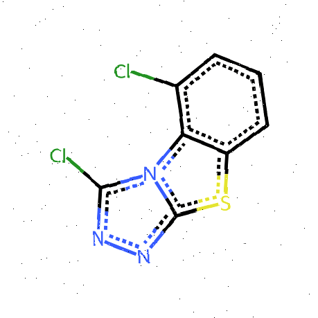 Clc1cccc2sc3nnc(Cl)n3c12